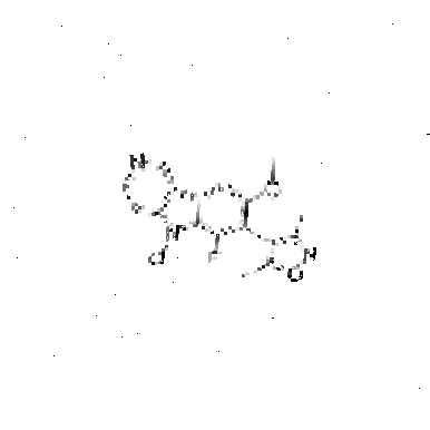 COc1cc2c3cnccc3n(Cl)c2c(F)c1-c1c(C)noc1C